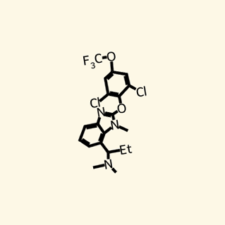 CCC(c1cccc2nc(Oc3c(Cl)cc(OC(F)(F)F)cc3Cl)n(C)c12)N(C)C